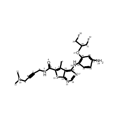 Cc1c(C(=O)NCC#CCN(C)C)sc2ncnc(Nc3ccc(N)cc3OC(CF)CF)c12